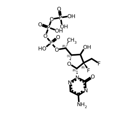 C[C@@H](OP(=O)(O)OP(=O)(O)OP(=O)(O)O)[C@H]1O[C@@H](n2ncc(N)nc2=O)[C@@](F)(CF)C1O